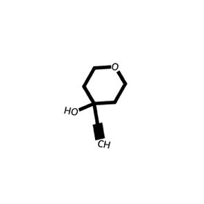 C#CC1(O)CCOCC1